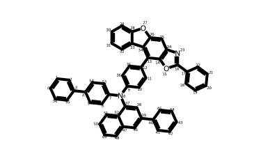 c1ccc(-c2ccc(N(c3ccc(-c4c5oc(-c6ccccc6)nc5cc5oc6ccccc6c45)cc3)c3cc(-c4ccccc4)cc4ccccc34)cc2)cc1